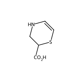 O=C(O)C1CNC=CS1